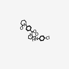 O=C(Nc1ccc(Cl)cc1)[C@H]1CCCN1C(=O)c1ccc(N2CCCCC2=O)cc1